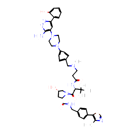 Cc1ncsc1-c1ccc(CNC(=O)[C@@H]2C[C@@H](O)CN2C(=O)[C@@H](NC(=O)CCN(C)Cc2ccc(N3CCN(c4cc(-c5ccccc5O)nnc4N)CC3)cc2)C(C)(C)C)cc1